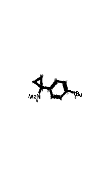 CNC1(c2ccc(C(C)(C)C)cc2)CC1